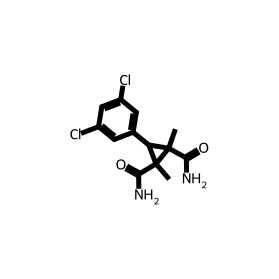 CC1(C(N)=O)C(c2cc(Cl)cc(Cl)c2)C1(C)C(N)=O